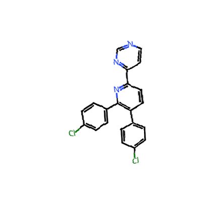 Clc1ccc(-c2ccc(-c3ccncn3)nc2-c2ccc(Cl)cc2)cc1